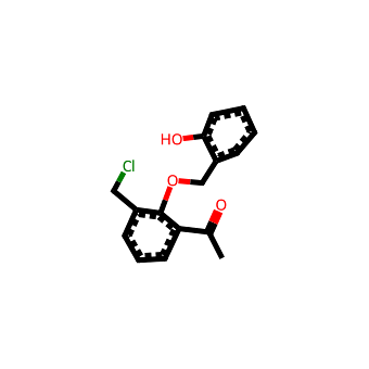 CC(=O)c1cccc(CCl)c1OCc1ccccc1O